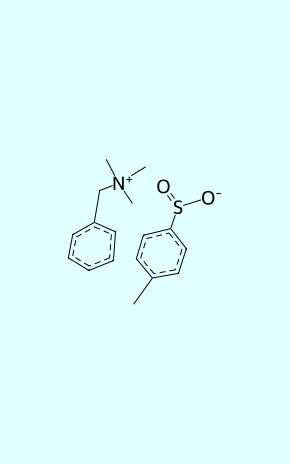 C[N+](C)(C)Cc1ccccc1.Cc1ccc(S(=O)[O-])cc1